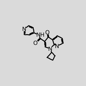 O=C(Nc1ccncc1)c1cn(C2CCC2)c2ncccc2c1=O